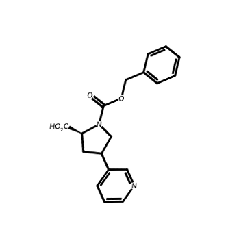 O=C(O)[C@@H]1CC(c2cccnc2)CN1C(=O)OCc1ccccc1